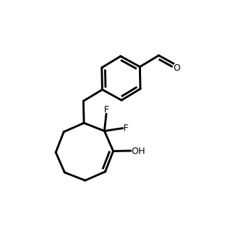 O=Cc1ccc(CC2CCCC/C=C(/O)C2(F)F)cc1